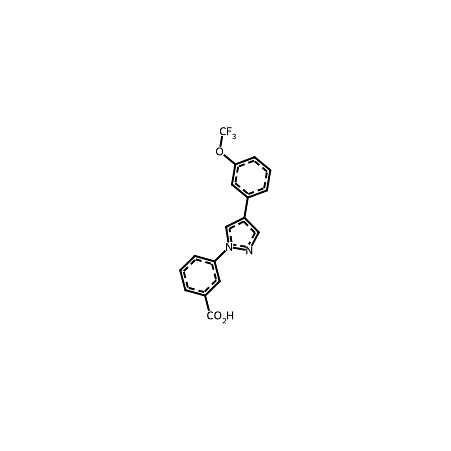 O=C(O)c1cccc(-n2cc(-c3cccc(OC(F)(F)F)c3)cn2)c1